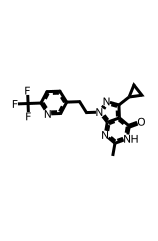 Cc1nc2c(c(C3CC3)nn2CCc2ccc(C(F)(F)F)nc2)c(=O)[nH]1